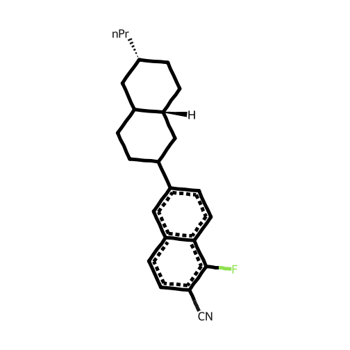 CCC[C@@H]1CC[C@@H]2CC(c3ccc4c(F)c(C#N)ccc4c3)CCC2C1